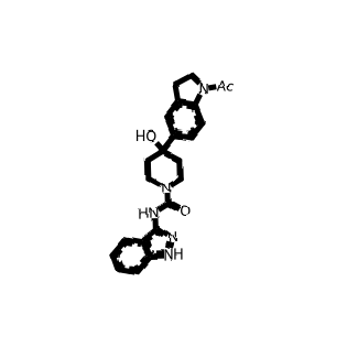 CC(=O)N1CCc2cc(C3(O)CCN(C(=O)Nc4n[nH]c5ccccc45)CC3)ccc21